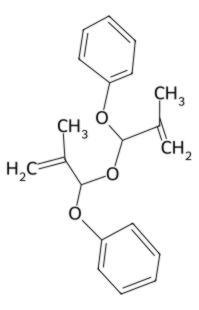 C=C(C)C(Oc1ccccc1)OC(Oc1ccccc1)C(=C)C